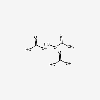 CC(=O)OO.O=C(O)O.O=C(O)O